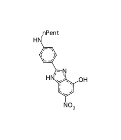 CCCCCNc1ccc(-c2nc3c(O)cc([N+](=O)[O-])cc3[nH]2)cc1